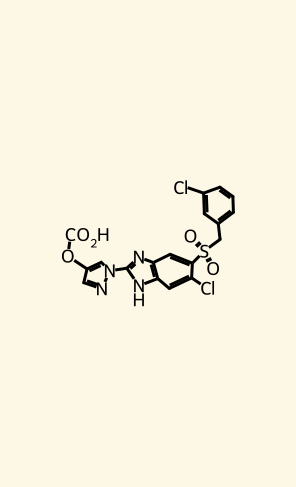 O=C(O)Oc1cnn(-c2nc3cc(S(=O)(=O)Cc4cccc(Cl)c4)c(Cl)cc3[nH]2)c1